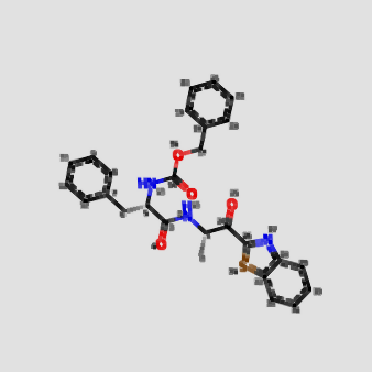 C[C@H](NC(=O)[C@H](Cc1ccccc1)NC(=O)OCc1ccccc1)C(=O)c1nc2ccccc2s1